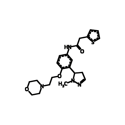 CN1N=CCC1c1cc(NC(=O)Cc2cccs2)ccc1OCCN1CCOCC1